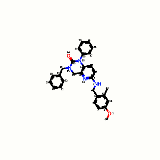 COc1ccc(CNc2ccc3c(n2)CN(Cc2ccccc2)C(=O)N3c2ccccc2)c(C)c1